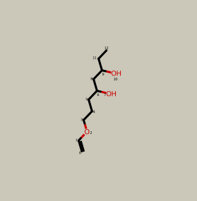 C=COCCCC(O)CC(O)CC